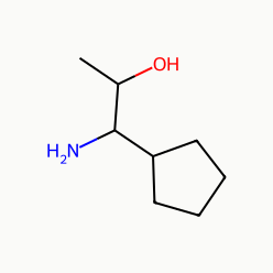 CC(O)C(N)C1CCCC1